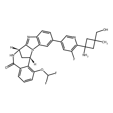 CC1(CO)CC(N)(c2ncc(-c3ccc4nc5n(c4c3)[C@H]3C[C@@H]5NC(=O)c4cccc(OC(F)F)c43)cc2F)C1